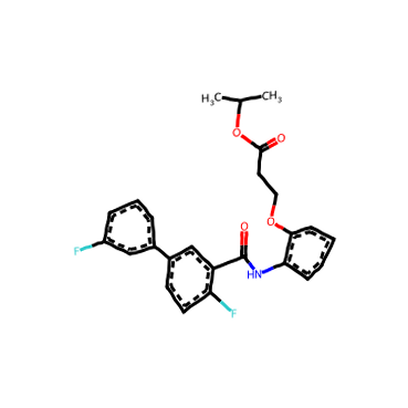 CC(C)OC(=O)CCOc1ccccc1NC(=O)c1cc(-c2cccc(F)c2)ccc1F